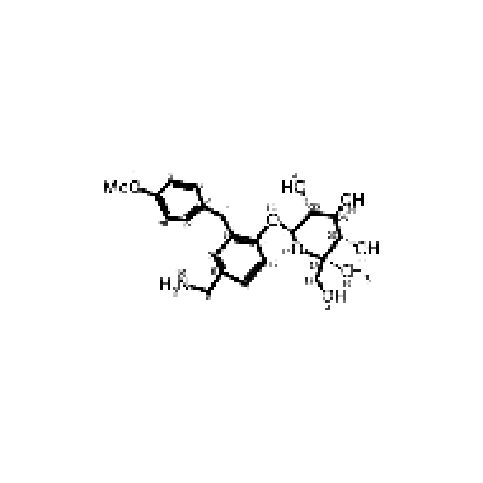 COc1ccc(Cc2cc(CN)ccc2O[C@@H]2O[C@](C)(CO)[C@@H](O)[C@H](O)[C@H]2O)cc1